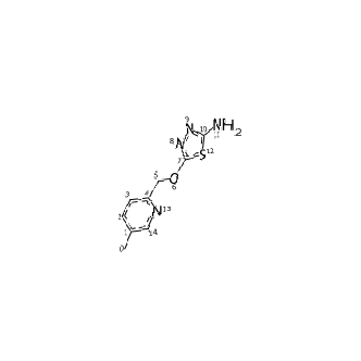 Cc1ccc(COc2nnc(N)s2)nc1